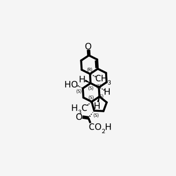 C[C@]12C[C@H](O)[C@H]3[C@@H](CCC4=CC(=O)CC[C@@]43C)[C@@H]1CC[C@@H]2C(=O)C(=O)O